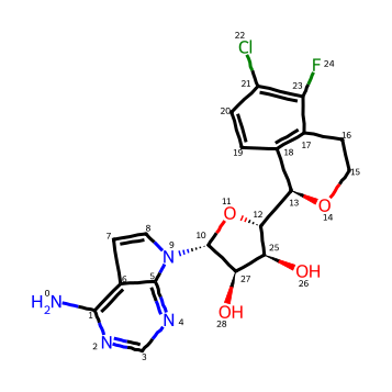 Nc1ncnc2c1ccn2[C@@H]1O[C@H]([C@@H]2OCCc3c2ccc(Cl)c3F)[C@@H](O)[C@H]1O